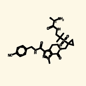 C[C@@H](N)C(=O)NCC(C)(C)S(=O)(=O)C1(CN2CCc3c(C(=O)NCc4ccc(C#N)cc4)nn(C)c3C2=O)CC1